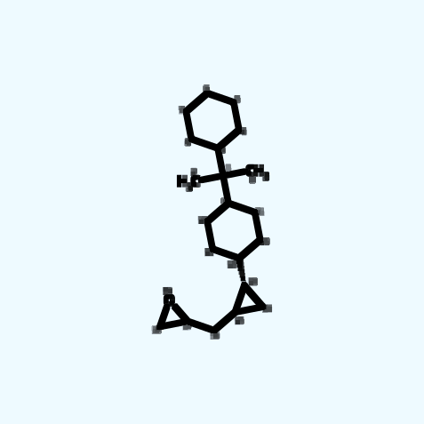 CC(C)(C1CCCCC1)C1CCC([C@@H]2CC2CC2CO2)CC1